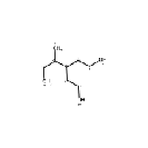 CCC(C)C(CCO)CCO